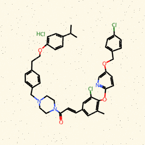 Cc1cc(C=CC(=O)N2CCN(Cc3ccc(CCOc4ccc(C(C)C)cc4)cc3)CC2)cc(Cl)c1Oc1ccc(OCc2ccc(Cl)cc2)cn1.Cl